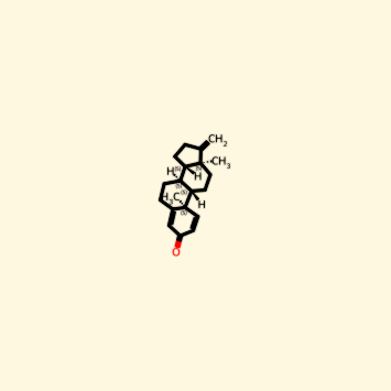 C=C1CC[C@H]2[C@@H]3CCC4=CC(=O)C=C[C@]4(C)[C@H]3CC[C@]12C